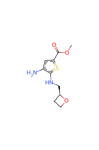 COC(=O)c1cc(N)c(NC[C@@H]2CCO2)s1